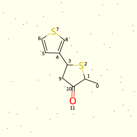 CC1SC(c2ccsc2)CC1=O